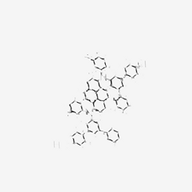 Cc1ccc(-c2cc(-c3ccccc3)cc(N(c3cccc(F)c3)c3ccc4ccc5c(N(c6cccc(F)c6)c6cc(-c7ccccc7)cc(-c7ccc(C)cc7)c6)ccc6ccc3c4c65)c2)cc1